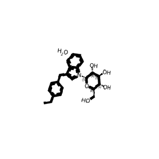 CCc1ccc(Cc2cn([C@H]3O[C@H](CO)[C@@H](O)[C@H](O)[C@H]3O)c3ccccc23)cc1.O